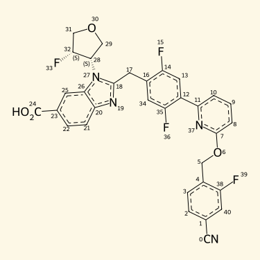 N#Cc1ccc(COc2cccc(-c3cc(F)c(Cc4nc5ccc(C(=O)O)cc5n4[C@H]4COC[C@H]4F)cc3F)n2)c(F)c1